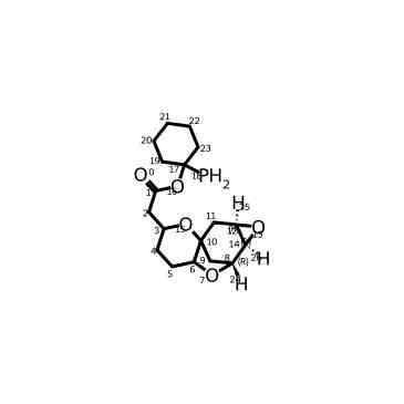 O=C(CC1CCC2O[C@@H]3CC2(C[C@H]2O[C@@H]32)O1)OC1(P)CCCCC1